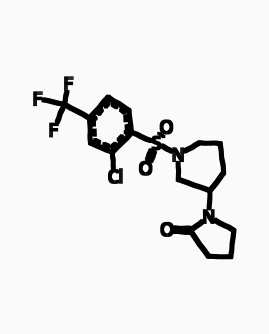 O=C1CCCN1C1CCCN(S(=O)(=O)c2ccc(C(F)(F)F)cc2Cl)C1